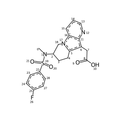 CN(C1CCc2c(CC(=O)O)c3ncccc3n2C1)S(=O)(=O)c1ccc(F)cc1